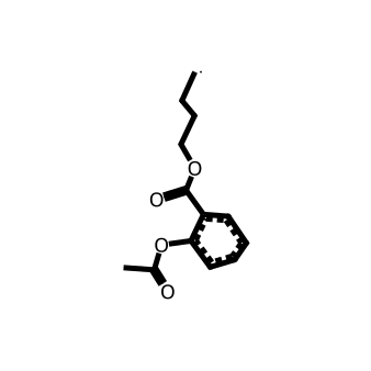 [CH2]CCCOC(=O)c1ccccc1OC(C)=O